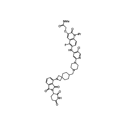 CNC(=O)COc1cc2c(F)c(Nc3cc(N4CCN(CC5CCC6(CC5)CN(c5cccc7c5C(=O)N(C5CCC(=O)NC5=O)C7=O)C6)CC4)ncc3Cl)ccc2n(C(C)C)c1=O